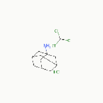 Cl.ClC(Cl)Cl.NC12CC3CC(CC(C3)C1)C2